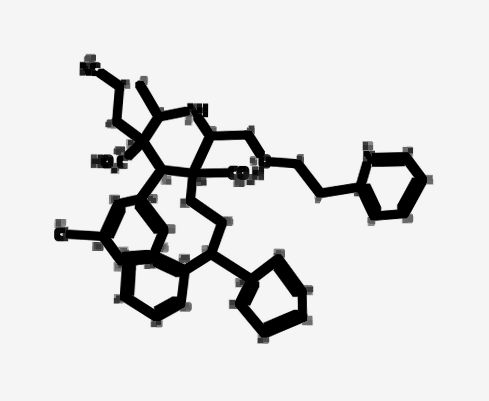 CC1NC(COCCc2ccccn2)C(CCC(c2ccccc2)c2ccccc2)(C(=O)O)C(c2cccc(Cl)c2)C1(CCC#N)C(=O)O